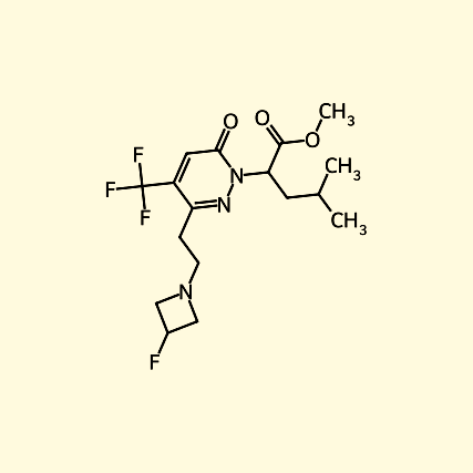 COC(=O)C(CC(C)C)n1nc(CCN2CC(F)C2)c(C(F)(F)F)cc1=O